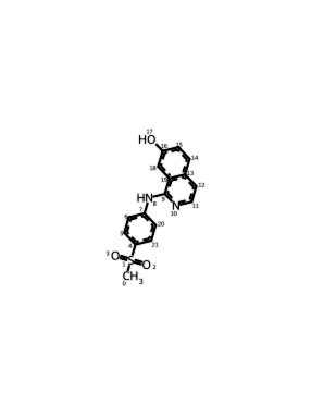 CS(=O)(=O)c1ccc(Nc2nccc3ccc(O)cc23)cc1